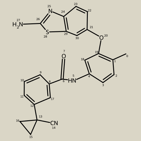 Cc1ccc(NC(=O)c2cccc(C3(C#N)CC3)c2)cc1Oc1ccc2nc(N)sc2c1